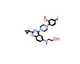 COc1cc(I)ccc1N1CCN(c2nc(C3(F)CC3)nc3ccc(N(C)CCO)cc23)CC1